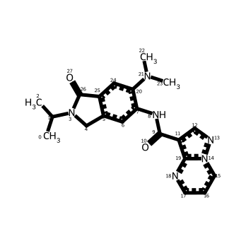 CC(C)N1Cc2cc(NC(=O)c3cnn4cccnc34)c(N(C)C)cc2C1=O